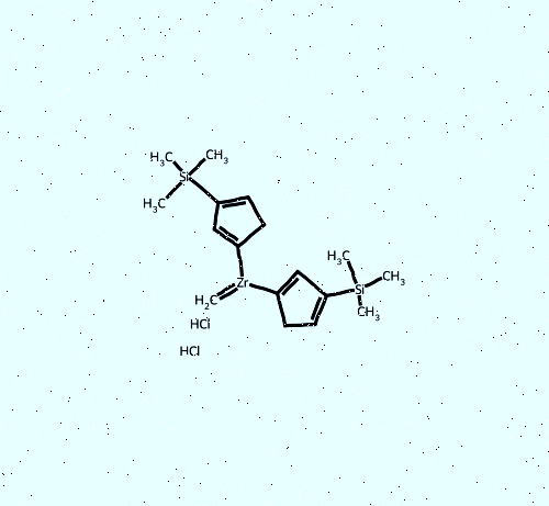 Cl.Cl.[CH2]=[Zr]([C]1=CC([Si](C)(C)C)=CC1)[C]1=CC([Si](C)(C)C)=CC1